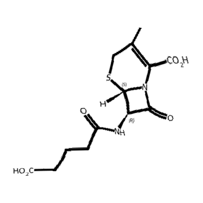 CC1=C(C(=O)O)N2C(=O)[C@@H](NC(=O)CCCC(=O)O)[C@@H]2SC1